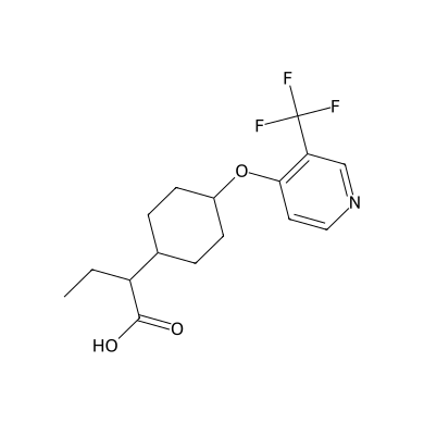 CCC(C(=O)O)C1CCC(Oc2ccncc2C(F)(F)F)CC1